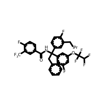 CC(C)Cc1cc(C(Cc2ccccc2)(NC(=O)c2ccc(F)c(C(F)(F)F)c2)c2cc(F)cc(OC(F)(F)C(F)F)c2)ccc1F